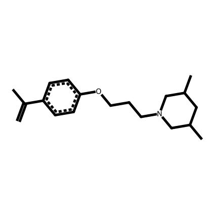 C=C(C)c1ccc(OCCCN2CC(C)CC(C)C2)cc1